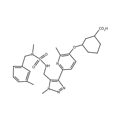 Cc1cccc(CN(C)S(=O)(=O)NCc2c(-c3ccc(OC4CCCC(C(=O)O)C4)c(C)n3)nnn2C)c1